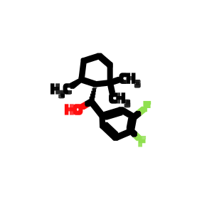 C[C@H]1CCCC(C)(C)[C@@H]1C(O)c1ccc(F)c(F)c1